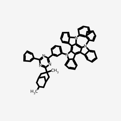 CC1CC2CC(C1)CC(C)(c1nc(-c3ccccc3)nc(-c3cccc(-n4c5ccccc5c5c6c7ccccc7n(-c7ccccc7)c6c6c(c7ccccc7n6-c6ccccc6)c54)c3)n1)C2